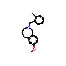 COc1ccc2c(c1)CCCN(Cc1ccccc1C)C2